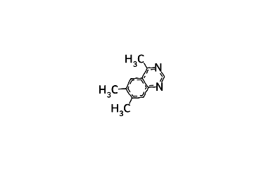 Cc1cc2ncnc(C)c2cc1C